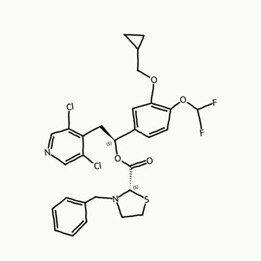 O=C(O[C@@H](Cc1c(Cl)cncc1Cl)c1ccc(OC(F)F)c(OCC2CC2)c1)[C@@H]1SCCN1Cc1ccccc1